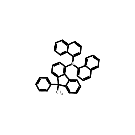 CC1(c2ccccc2)c2ccccc2-c2c(N(c3cccc4ccccc34)c3cccc4ccccc34)cccc21